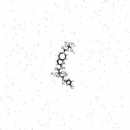 CC(C)(C)OC(=O)N1CCc2ccc(NC(=O)C(C)(C)NC(=O)Nc3ccc(Cl)s3)nc2CC1